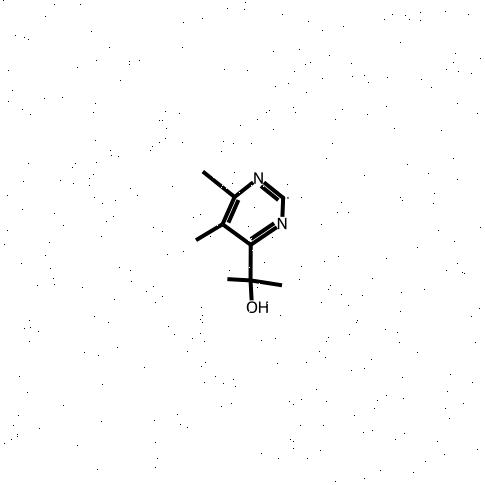 Cc1n[c]nc(C(C)(C)O)c1C